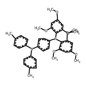 COc1cc(OC)c(N(c2ccc(N(c3ccc(C)cc3)c3ccc(C)cc3)cc2)c2c(OC)cc(OC)cc2OC)c(OC)c1